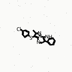 Cc1nn2c(ncc3c4ccccc4[nH]c32)c1Sc1ccc(Cl)cc1